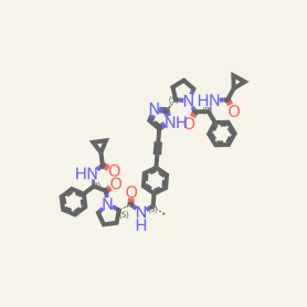 C[C@H](NC(=O)[C@@H]1CCCN1C(=O)[C@H](NC(=O)C1CC1)c1ccccc1)c1ccc(C#Cc2cnc([C@@H]3CCCN3C(=O)[C@H](NC(=O)C3CC3)c3ccccc3)[nH]2)cc1